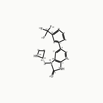 O=c1[nH]c2ncc(-c3cccc(C(F)(F)F)c3)cc2n1C[C@H]1CCN1